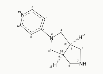 c1cc(N2C[C@H]3CNC[C@H]3C2)ccn1